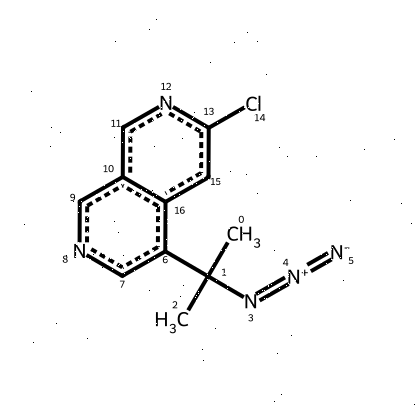 CC(C)(N=[N+]=[N-])c1cncc2cnc(Cl)cc12